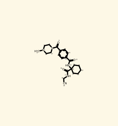 CN1CCN(C(=O)c2ccc(C(=O)NC3(C(=O)NCC#N)CCCCC3)cc2)CC1